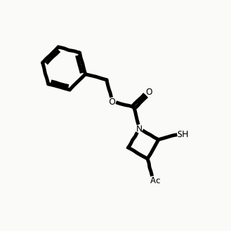 CC(=O)C1CN(C(=O)OCc2ccccc2)C1S